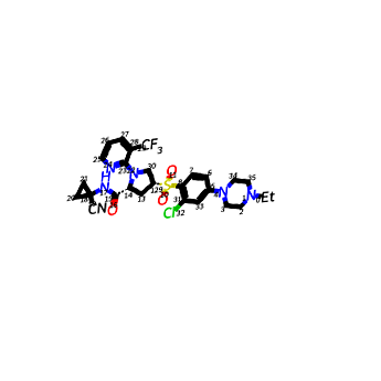 CCN1CCN(c2ccc(S(=O)(=O)[C@@H]3C[C@H](C(=O)NC4(C#N)CC4)N(c4ncccc4C(F)(F)F)C3)c(Cl)c2)CC1